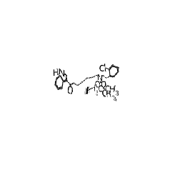 CC(C)(C)OC(=O)N(CCCCCC(=O)c1c[nH]c2ccccc12)CCc1ccccc1Cl